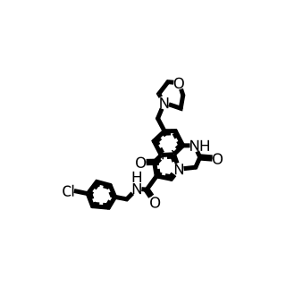 O=C1Cn2cc(C(=O)NCc3ccc(Cl)cc3)c(=O)c3cc(CN4CCOCC4)cc(c32)N1